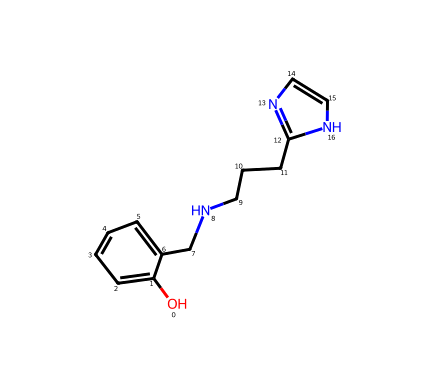 Oc1ccccc1CNCCCc1ncc[nH]1